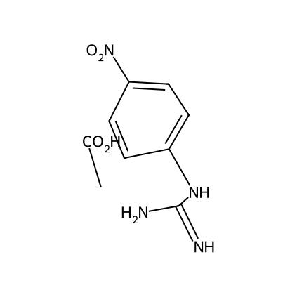 CC(=O)O.N=C(N)Nc1ccc([N+](=O)[O-])cc1